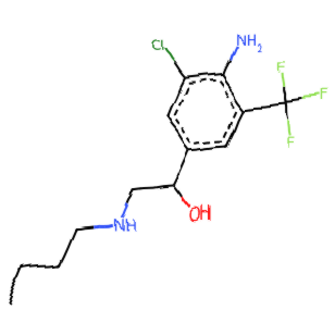 CCCCNCC(O)c1cc(Cl)c(N)c(C(F)(F)F)c1